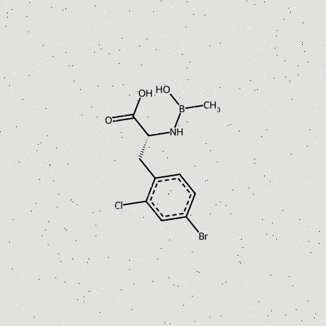 CB(O)N[C@H](Cc1ccc(Br)cc1Cl)C(=O)O